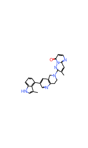 Cc1cc2nccc(=O)n2nc1N1CCc2ncc(-c3cccc4[nH]cc(C)c34)cc2C1